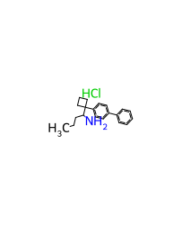 CCCC(N)C1(c2ccc(-c3ccccc3)cc2)CCC1.Cl